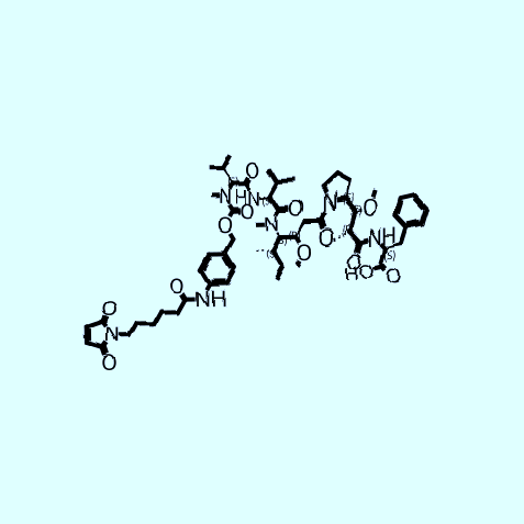 CC[C@H](C)[C@@H]([C@@H](CC(=O)N1CCC[C@H]1[C@H](OC)[C@@H](C)C(=O)N[C@@H](Cc1ccccc1)C(=O)O)OC)N(C)C(=O)[C@@H](NC(=O)[C@H](C(C)C)N(C)C(=O)OCc1ccc(NC(=O)CCCCCN2C(=O)C=CC2=O)cc1)C(C)C